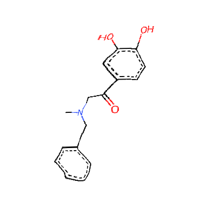 CN(CC(=O)c1ccc(O)c(O)c1)Cc1ccccc1